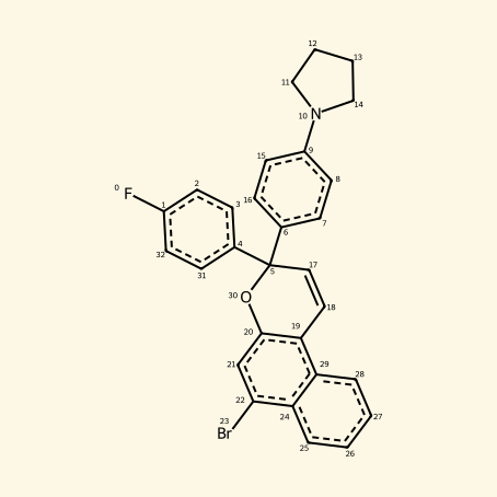 Fc1ccc(C2(c3ccc(N4CCCC4)cc3)C=Cc3c(cc(Br)c4ccccc34)O2)cc1